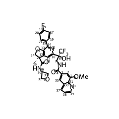 COc1cc(C(=O)NC[C@](O)(c2cc3c(c(-c4ccc(F)cc4)n2)OC[C@]3(C)C(=O)NC2COC2)C(F)(F)F)cc2cccnc12